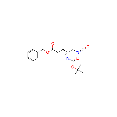 CC(C)(C)OC(=O)N[C@@H](CCC(=O)OCc1ccccc1)CN=C=O